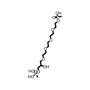 CP(=O)(O)OCCOCCOCCOCCOCC(O)CO[PH](C)(O)O